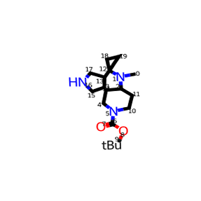 CN(C1CCN(C(=O)OC(C)(C)C)CC1)C1(C2CCNC2)CC1